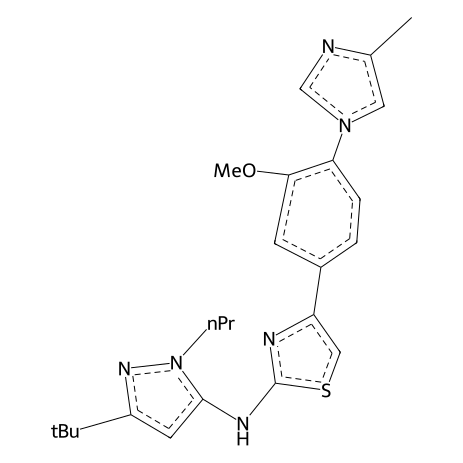 CCCn1nc(C(C)(C)C)cc1Nc1nc(-c2ccc(-n3cnc(C)c3)c(OC)c2)cs1